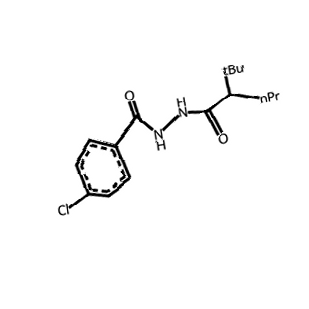 CCCC(C(=O)NNC(=O)c1ccc(Cl)cc1)C(C)(C)C